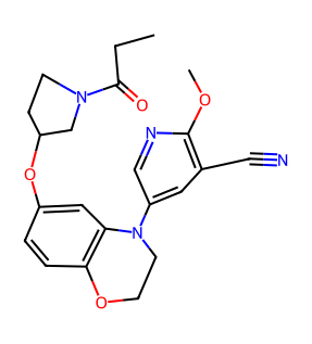 CCC(=O)N1CCC(Oc2ccc3c(c2)N(c2cnc(OC)c(C#N)c2)CCO3)C1